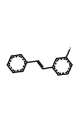 Ic1cccc(C=Cc2ccccc2)c1